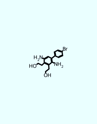 Nc1cc(-c2ccc(Br)cc2)c(N)c(CCO)c1CCO